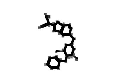 C[C@@H]1CN(Cc2ccc3oc(C(=O)O)cc3c2)C[C@H](C)N1Cc1ccccc1